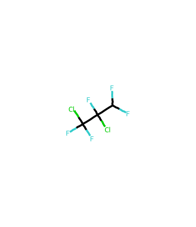 FC(F)C(F)(Cl)C(F)(F)Cl